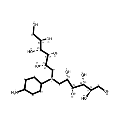 NC1CCC(N(C[C@H](O)[C@@H](O)[C@H](O)[C@H](O)CO)C[C@H](O)[C@@H](O)[C@H](O)[C@H](O)CO)CC1